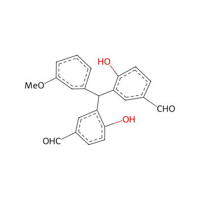 COc1cccc(C(c2cc(C=O)ccc2O)c2cc(C=O)ccc2O)c1